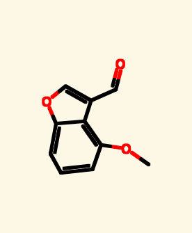 COc1cccc2occ(C=O)c12